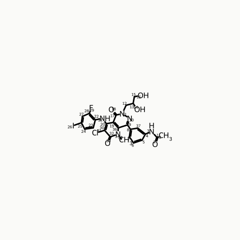 CC(=O)Nc1cccc(-c2nn(CC(O)CO)c(=O)c3c(Nc4ccc(I)cc4F)c(Cl)c(=O)n(C)c23)c1